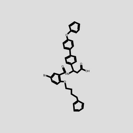 O=C(O)CC(NC(=O)c1cc(Br)ccc1OCCCCc1ccccc1)c1ccc(-c2ccc(Oc3ccccc3)cc2)cc1